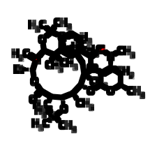 C=CCO[C@@]1(C)C[C@@H](C)[C@@H]2OC(C)(C)O[C@@H](C(=C)[C@@H](CC)OC(=O)[C@H](C)[C@@H](O[Si](C)(C)C)[C@H](C)[C@H]1OC1O[C@H](C)C[C@H](N(C)C)[C@H]1OC(=O)c1ccccc1)C2(C)C